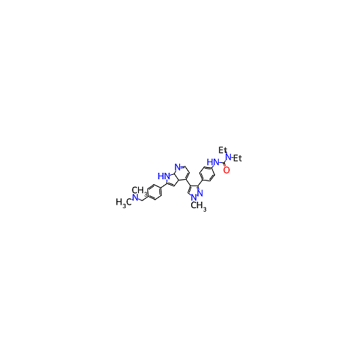 CCN(CC)C(=O)Nc1ccc(-c2nn(C)cc2C2=CC=NC3NC(c4ccc(CN(C)C)cc4)=CC23)cc1